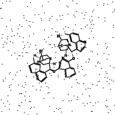 CCC1C[N@@]2CCC1C[C@@H]2[C@@H](Oc1nnc(O[C@@H](c2ccnc3ccc(C)cc23)[C@H]2C[C@H]3CCN2C[C@@H]3CC)c2ccccc12)c1ccnc2ccc(C)cc12